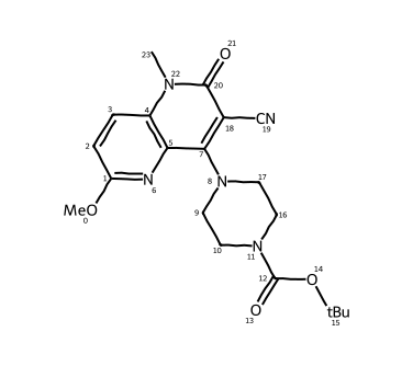 COc1ccc2c(n1)c(N1CCN(C(=O)OC(C)(C)C)CC1)c(C#N)c(=O)n2C